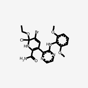 CCOC1(Cl)NC(C(N)=O)=C(c2nccnc2Nc2c(OC)cccc2OC)C=C1Br